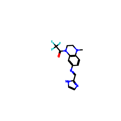 CN1CCN(C(=O)C(F)(F)F)c2cc(/N=C/c3ncc[nH]3)ccc21